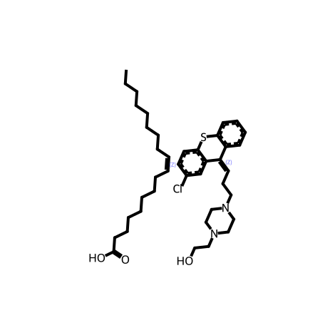 CCCCCCCC/C=C\CCCCCCCC(=O)O.OCCN1CCN(CC/C=C2/c3ccccc3Sc3ccc(Cl)cc32)CC1